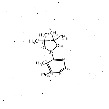 Cc1c(B2OC(C)(C)C(C)(C)O2)cccc1C(C)C